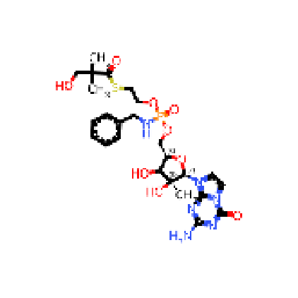 CC(C)(CO)C(=O)SCCOP(=O)(NCc1ccccc1)OC[C@H]1O[C@@H](n2ccn3c(=O)nc(N)nc23)[C@@](C)(O)C1O